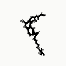 CCNCc1cc2c(N)nc3ccc(CCCCCNC(C)(C)C)cc3c2[nH]1